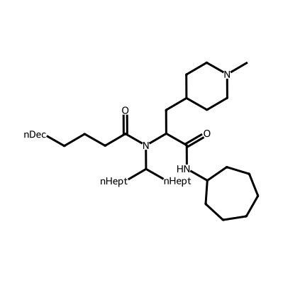 CCCCCCCCCCCCCC(=O)N(C(CCCCCCC)CCCCCCC)C(CC1CCN(C)CC1)C(=O)NC1CCCCCC1